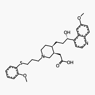 COc1ccc2nccc([C@@H](O)CC[C@@H]3CCN(CCCSc4ccccc4OC)C[C@@H]3CC(=O)O)c2c1